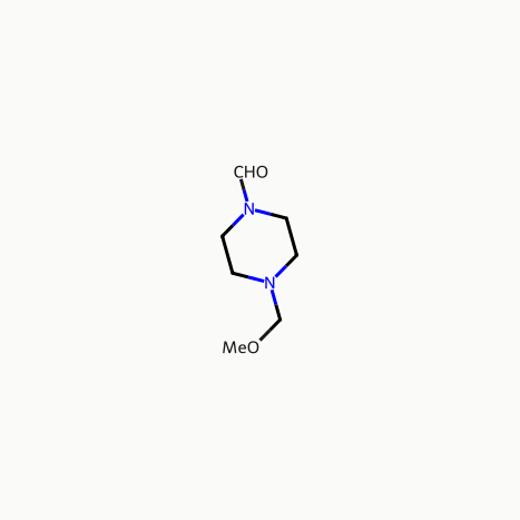 COCN1CCN(C=O)CC1